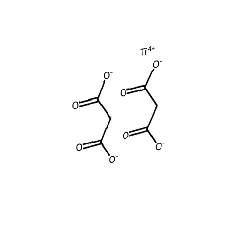 O=C([O-])CC(=O)[O-].O=C([O-])CC(=O)[O-].[Ti+4]